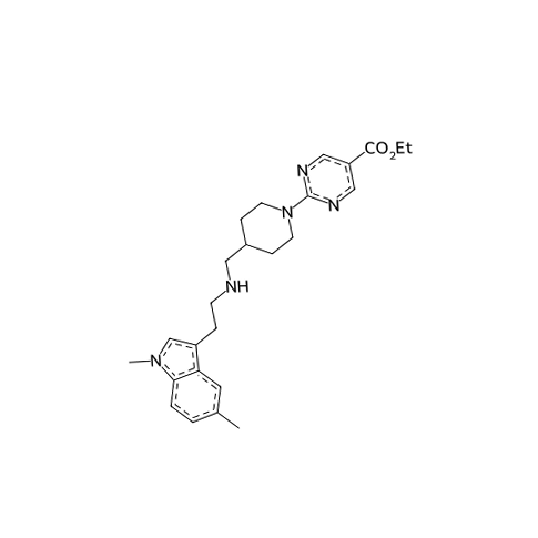 CCOC(=O)c1cnc(N2CCC(CNCCc3cn(C)c4ccc(C)cc34)CC2)nc1